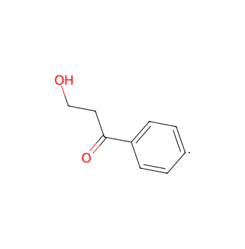 O=C(CCO)c1cc[c]cc1